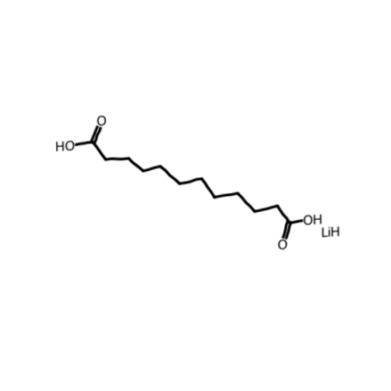 O=C(O)CCCCCCCCCCC(=O)O.[LiH]